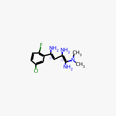 CN(C)/C(N)=C(N)/C=C(\N)c1cc(Cl)ccc1F